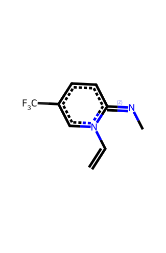 C=Cn1cc(C(F)(F)F)cc/c1=N/C